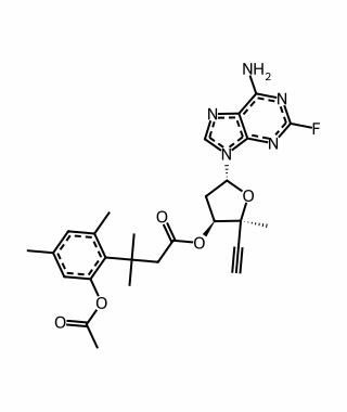 C#C[C@]1(C)O[C@@H](n2cnc3c(N)nc(F)nc32)C[C@@H]1OC(=O)CC(C)(C)c1c(C)cc(C)cc1OC(C)=O